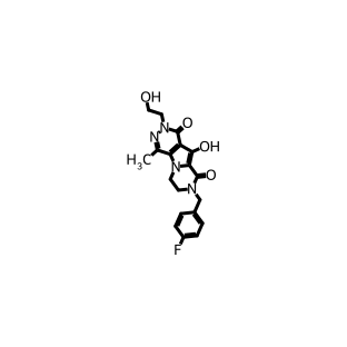 Cc1nn(CCO)c(=O)c2c(O)c3n(c12)CCN(Cc1ccc(F)cc1)C3=O